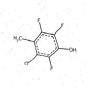 Cc1c(F)c(F)c(O)c(F)c1Cl